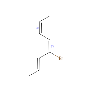 CC=C/C(Br)=C\C=C/C